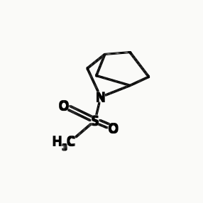 CS(=O)(=O)N1CC2CCC1C2